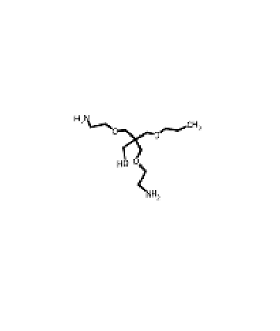 CCCOCC(CO)(COCCN)COCCN